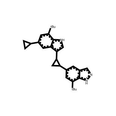 CC(C)(C)c1cc(C2CC2c2c[nH]c3c(C(C)(C)C)cc(C4CC4)cc23)cc2cn[nH]c12